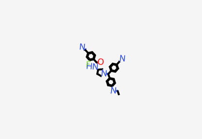 CCN(C)c1ccc(C(c2ccc(C#N)cc2)N2CC[C@@H](NC(=O)c3ccc(C#N)cc3F)C2)cc1